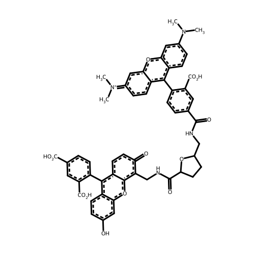 CN(C)c1ccc2c(-c3ccc(C(=O)NCC4CCC(C(=O)NCc5c6oc7cc(O)ccc7c(-c7ccc(C(=O)O)cc7C(=O)O)c-6ccc5=O)O4)cc3C(=O)O)c3ccc(=[N+](C)C)cc-3oc2c1